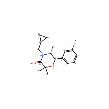 C[C@@H]1[C@@H](c2cccc(Cl)c2)OC(C)(C)C(=O)N1CC1CC1